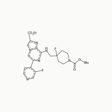 CCOC(=O)c1cn2cc(-c3ccncc3F)nc(NCC3(F)CCN(C(=O)OC(C)(C)C)CC3)c2n1